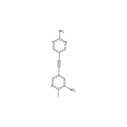 Cc1ncc(C#Cc2cnc(N)nc2)cc1[N+](=O)[O-]